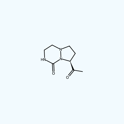 CC(=O)[C@@H]1CCN2CCNC(=O)N12